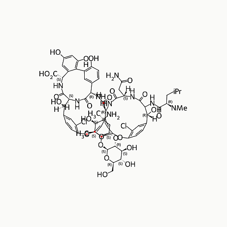 CN[C@H](CC(C)C)C(=O)NC1C(=O)N[C@@H](CC(N)=O)C(=O)N[C@H]2C(=O)N[C@H]3C(=O)N[C@H](C(=O)N[C@H](C(=O)O)c4cc(O)cc(O)c4-c4cc3ccc4O)[C@H](O)c3ccc(c(Cl)c3)Oc3cc2cc(c3O[C@@H]2O[C@H](CO)[C@@H](O)[C@H](O)[C@H]2O[C@H]2C[C@](C)(N)[C@H](O)[C@H](C)O2)Oc2ccc(cc2Cl)[C@H]1O